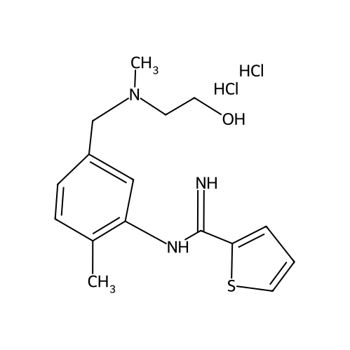 Cc1ccc(CN(C)CCO)cc1NC(=N)c1cccs1.Cl.Cl